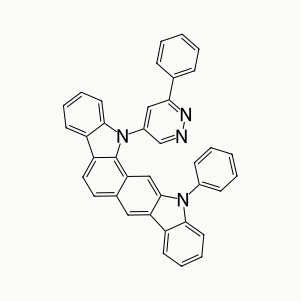 c1ccc(-c2cc(-n3c4ccccc4c4ccc5cc6c7ccccc7n(-c7ccccc7)c6cc5c43)cnn2)cc1